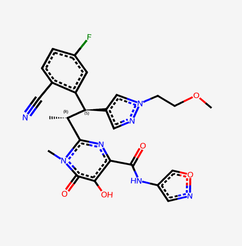 COCCn1cc([C@H](c2cc(F)ccc2C#N)[C@@H](C)c2nc(C(=O)Nc3cnoc3)c(O)c(=O)n2C)cn1